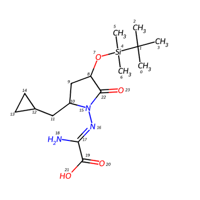 CC(C)(C)[Si](C)(C)OC1CC(CC2CC2)N(N=C(N)C(=O)O)C1=O